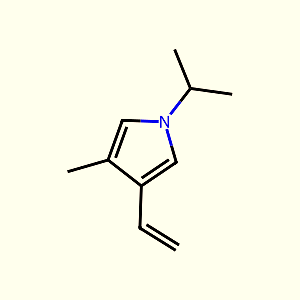 C=Cc1cn(C(C)C)cc1C